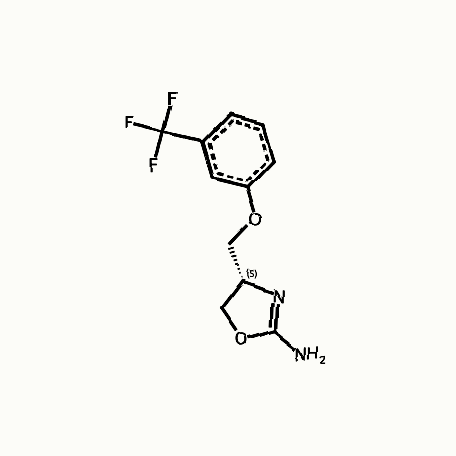 NC1=N[C@@H](COc2cccc(C(F)(F)F)c2)CO1